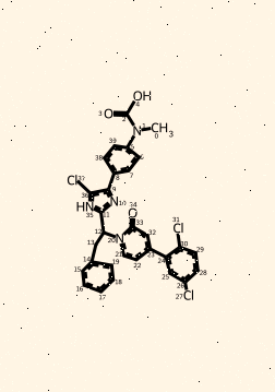 CN(C(=O)O)c1ccc(-c2nc(C(Cc3ccccc3)n3ccc(-c4cc(Cl)ccc4Cl)cc3=O)[nH]c2Cl)cc1